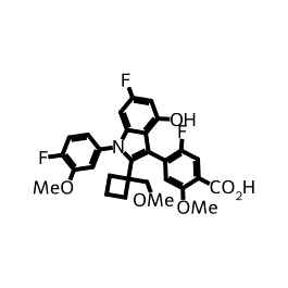 COCC1(c2c(-c3cc(OC)c(C(=O)O)cc3F)c3c(O)cc(F)cc3n2-c2ccc(F)c(OC)c2)CCC1